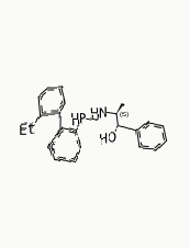 CCc1ccccc1-c1ccccc1PCN[C@@H](C)C(O)c1ccccc1